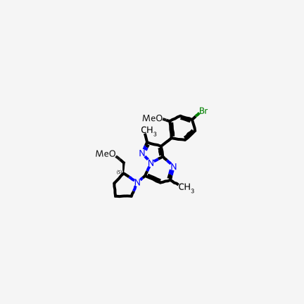 COC[C@@H]1CCCN1c1cc(C)nc2c(-c3ccc(Br)cc3OC)c(C)nn12